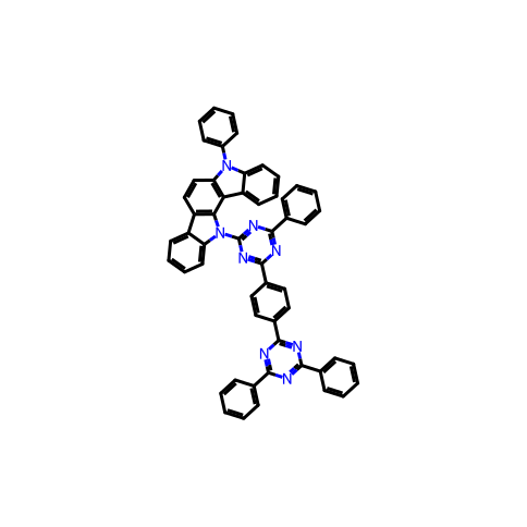 c1ccc(-c2nc(-c3ccccc3)nc(-c3ccc(-c4nc(-c5ccccc5)nc(-n5c6ccccc6c6ccc7c(c8ccccc8n7-c7ccccc7)c65)n4)cc3)n2)cc1